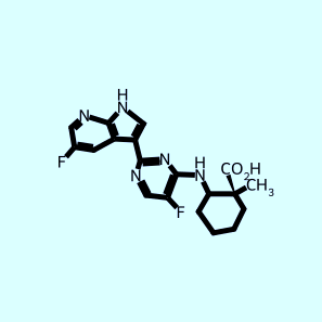 C[C@]1(C(=O)O)CCCCC1Nc1nc(-c2c[nH]c3ncc(F)cc23)ncc1F